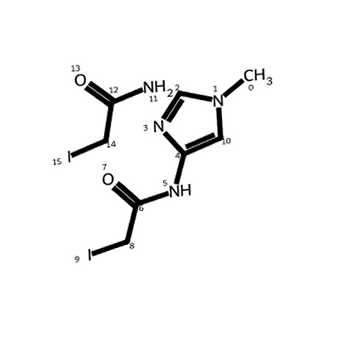 Cn1cnc(NC(=O)CI)c1.NC(=O)CI